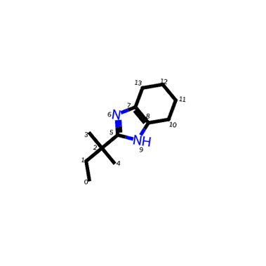 CCC(C)(C)c1nc2c([nH]1)CCCC2